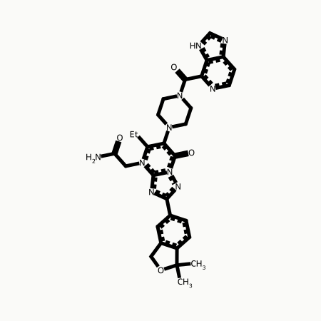 CCc1c(N2CCN(C(=O)c3nccc4nc[nH]c34)CC2)c(=O)n2nc(-c3ccc4c(c3)COC4(C)C)nc2n1CC(N)=O